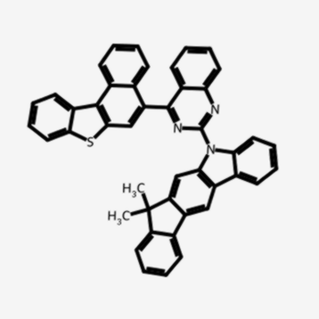 CC1(C)c2ccccc2-c2cc3c4ccccc4n(-c4nc(-c5cc6sc7ccccc7c6c6ccccc56)c5ccccc5n4)c3cc21